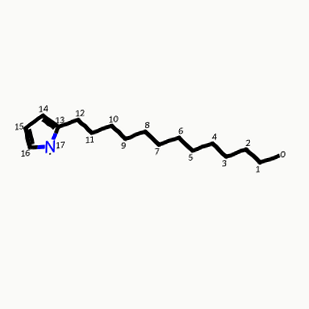 CCCCCCCCCCCCCC1=CC=C[N]1